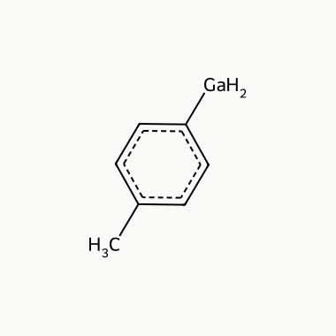 Cc1cc[c]([GaH2])cc1